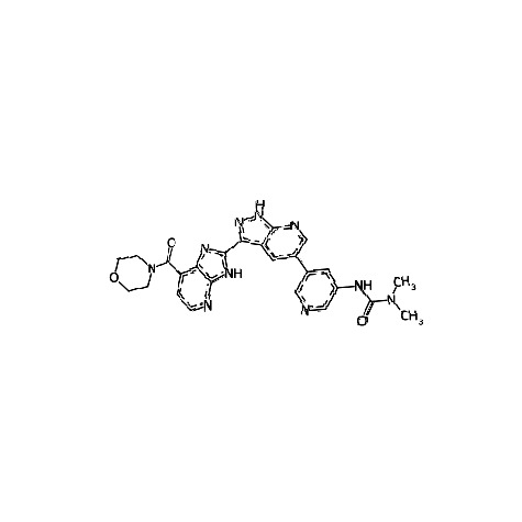 CN(C)C(=O)Nc1cncc(-c2cnc3[nH]nc(-c4nc5c(C(=O)N6CCOCC6)ccnc5[nH]4)c3c2)c1